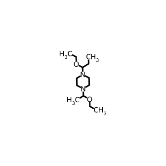 CCOC(C)N1CCN(C(CC)OCC)CC1